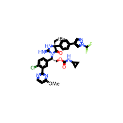 COc1ccnc(-c2cc([C@@H](COC(=O)NC3CC3)N3C(=N)N[C@](CC(C)(C)C)(c4ccc(-c5cnn(C(F)F)c5)cc4)C3=O)ccc2Cl)n1